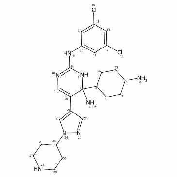 NC1CCC(C2(N)NC(Nc3cc(Cl)cc(Cl)c3)=NC=C2c2cnn(C3CCNCC3)c2)CC1